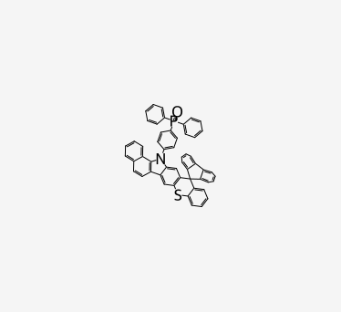 O=P(c1ccccc1)(c1ccccc1)c1ccc(-n2c3cc4c(cc3c3ccc5ccccc5c32)Sc2ccccc2C42c3ccccc3-c3ccccc32)cc1